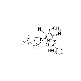 CCc1c(C#N)c(SC(C(N)=O)c2ccccc2)nc(N2CCC(OC(N)=O)C(F)(F)C2)c1C#N